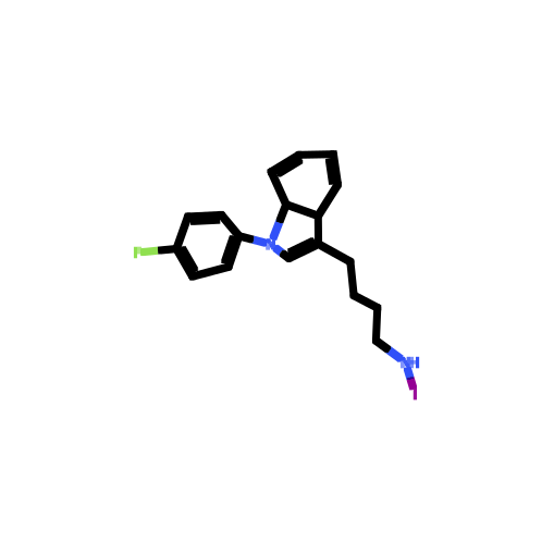 Fc1ccc(N2C=C(CCCCNI)C3C=CC=CC32)cc1